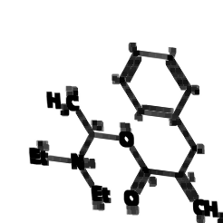 C=C(Cc1ccccc1)C(=O)OC(C)N(CC)CC